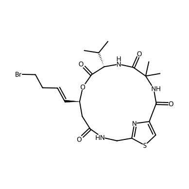 CC(C)[C@@H]1NC(=O)C(C)(C)NC(=O)c2csc(n2)CNC(=O)C[C@@H](C=CCCBr)OC1=O